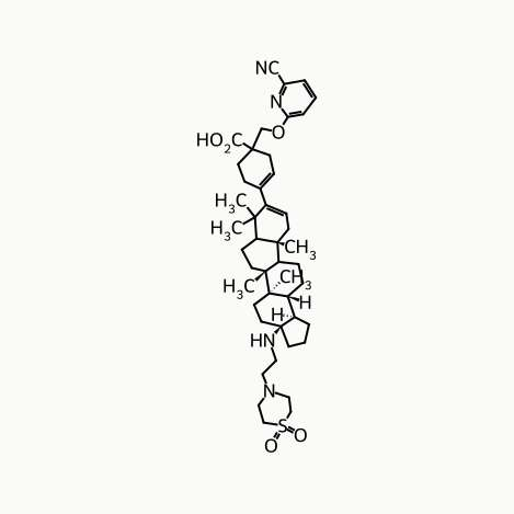 CC1(C)C(C2=CCC(COc3cccc(C#N)n3)(C(=O)O)CC2)=CC[C@@]2(C)C1CC[C@]1(C)C2CC[C@@H]2[C@H]3CCC[C@]3(NCCN3CCS(=O)(=O)CC3)CC[C@]21C